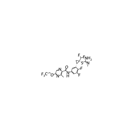 C/N=C(/N)S[C@@]1(C(F)F)C[C@H]1c1cc(NC(=O)c2ncc(OCC(F)(F)F)nc2C)cc(F)c1F